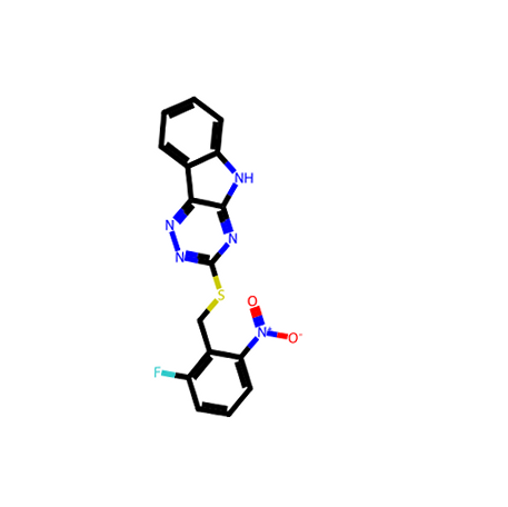 O=[N+]([O-])c1cccc(F)c1CSc1nnc2c(n1)[nH]c1ccccc12